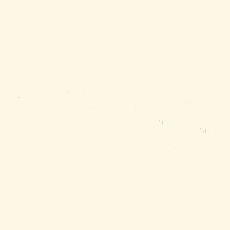 NC(=O)C1CCN1Cc1ccc(OCc2ccc(Br)cc2)cc1